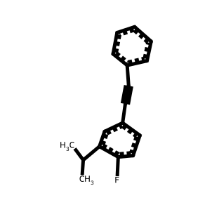 CC(C)c1cc(C#Cc2ccccc2)ccc1F